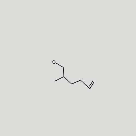 C=CCCC(C)C[O]